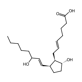 CCCCCC(O)C=C[C@@H]1CC[C@@H](O)[C@@H]1CC=CCCCC(=O)O